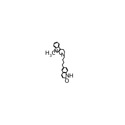 Cn1c2c(c3ccccc31)CCN(CCCCc1ccc3[nH]c(=O)ccc3c1)C2